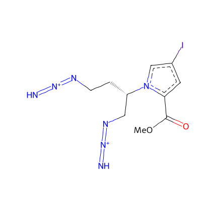 COC(=O)c1cc(I)cn1[C@@H](CCN=[N+]=N)CN=[N+]=N